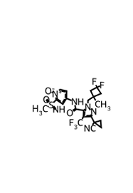 CC1(Cn2nc(C3(C#N)CC3)c(C(F)(F)F)c2C(=O)Nc2cc[n+]([O-])c(S(C)(=N)=O)c2)CC(F)(F)C1